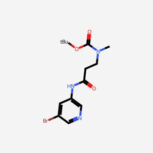 CN(CCC(=O)Nc1cncc(Br)c1)C(=O)OC(C)(C)C